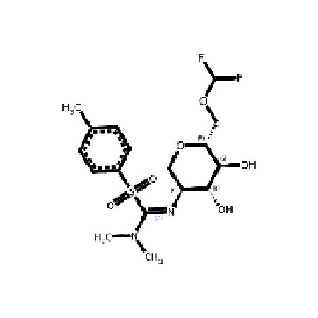 Cc1ccc(S(=O)(=O)/C(=N\[C@H]2CO[C@H](COC(F)F)[C@@H](O)[C@@H]2O)N(C)C)cc1